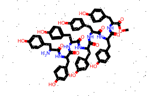 COC(=O)C(Cc1ccc(O)cc1)NC(=O)C(Cc1ccc(O)cc1)NC(=O)C(Cc1ccc(O)cc1)NC(=O)C(Cc1ccc(O)cc1)NC(=O)C(Cc1ccc(O)cc1)NC(=O)C(Cc1ccc(O)cc1)NC(=O)C(N)Cc1ccc(O)cc1